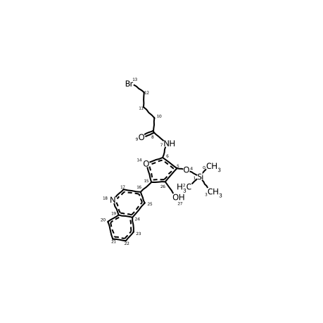 C[Si](C)(C)Oc1c(NC(=O)CCCBr)oc(-c2cnc3ccccc3c2)c1O